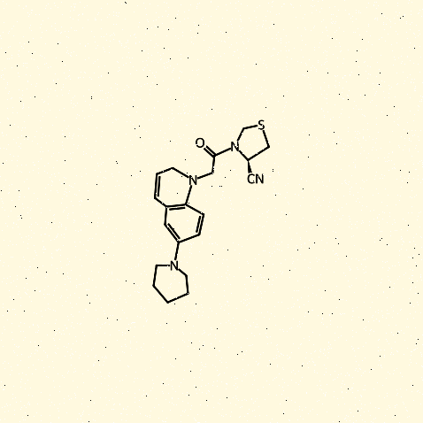 N#C[C@@H]1CSCN1C(=O)CN1CC=Cc2cc(N3CCCCC3)ccc21